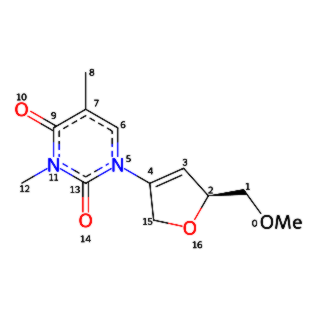 COC[C@@H]1C=C(n2cc(C)c(=O)n(C)c2=O)CO1